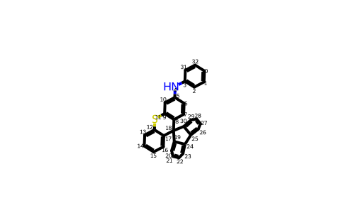 c1ccc(Nc2ccc3c(c2)Sc2ccccc2C32c3ccccc3-c3ccccc32)cc1